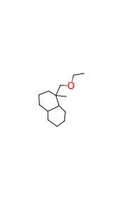 CCOCC1(C)CCCC2CCCCC21